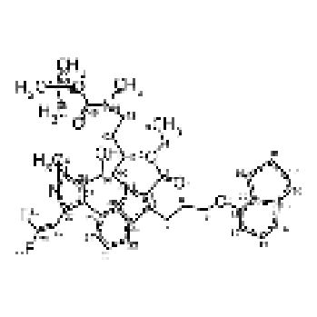 CCOC(=O)c1c(CCCOc2cccc3ccccc23)c2cccc(-c3c(C=C(F)F)nn(C)c3CO)c2n1CCCCN(C)C(=O)OC(C)(C)C